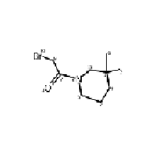 CC1(C)CCCN(C(=O)CBr)C1